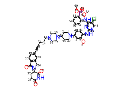 COc1cc(N2CCC(N3CCN(CCCC#Cc4ccc5c(c4)CN(C4CCC(=O)NC4=O)C5=O)CC3)CC2)ccc1Nc1ncc(Cl)c(Nc2ccccc2P(=O)(OC)OC)n1